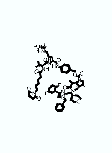 CC(C)C(=O)N(C[C@@H]1CN(C(=O)OCc2ccc(NC(=O)[C@H](CCCNC(N)=O)NC(=O)[C@@H](NC(=O)CCCCCN3C(=O)C=CC3=O)C(C)C)cc2)C[C@@H]1F)[C@@H](c1nc(-c2cc(F)ccc2F)cn1Cc1ccccc1)C1CCOCC1